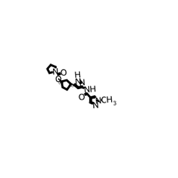 Cn1cc(C(=O)Nc2cc([C@H]3CC[C@@H](OC(=O)N4CCCC4)C3)[nH]n2)cn1